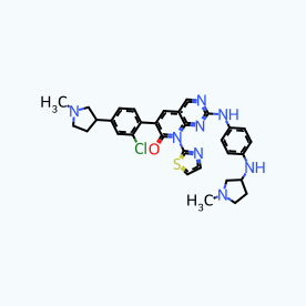 CN1CCC(Nc2ccc(Nc3ncc4cc(-c5ccc(C6CCN(C)C6)cc5Cl)c(=O)n(-c5nccs5)c4n3)cc2)C1